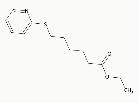 CCOC(=O)CCCCCSc1ccccn1